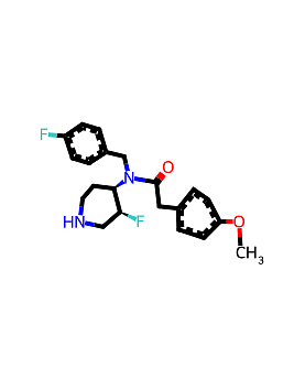 COc1ccc(CC(=O)N(Cc2ccc(F)cc2)[C@@H]2CCNC[C@@H]2F)cc1